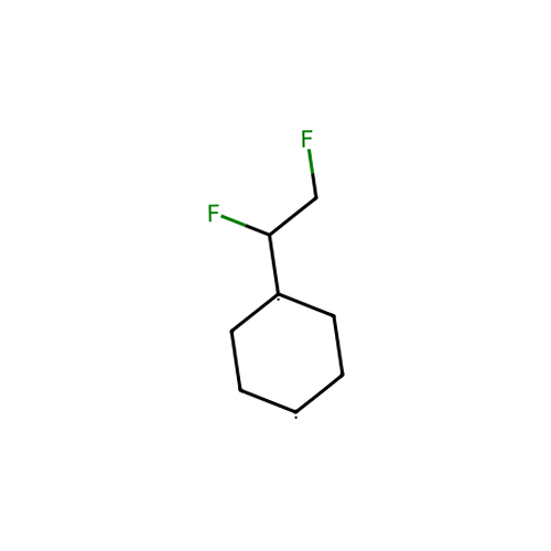 FCC(F)[C]1CC[CH]CC1